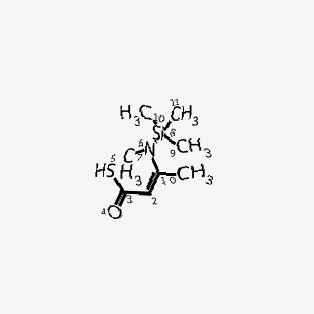 C/C(=C/C(=O)S)N(C)[Si](C)(C)C